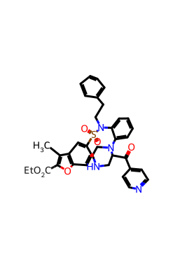 CCOC(=O)c1oc2ccc(S(=O)(=O)N(CCc3ccccc3)c3ccccc3N3CCNCC3C(=O)c3ccncc3)cc2c1C